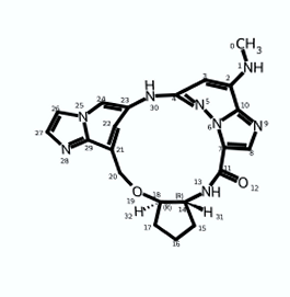 CNc1cc2nn3c(cnc13)C(=O)N[C@@H]1CCC[C@H]1OCc1cc(cn3ccnc13)N2